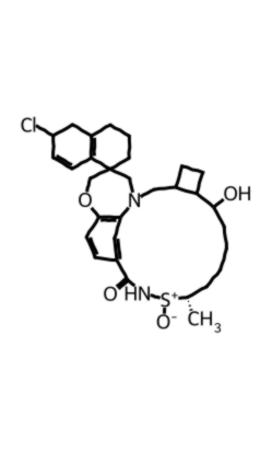 C[C@H]1CCCCC(O)C2CCC2CN2CC3(CCCC4=C3C=CC(Cl)C4)COc3ccc(cc32)C(=O)N[S+]1[O-]